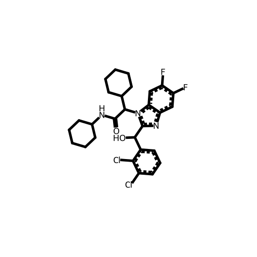 O=C(NC1CCCCC1)C(C1CCCCC1)n1c(C(O)c2cccc(Cl)c2Cl)nc2cc(F)c(F)cc21